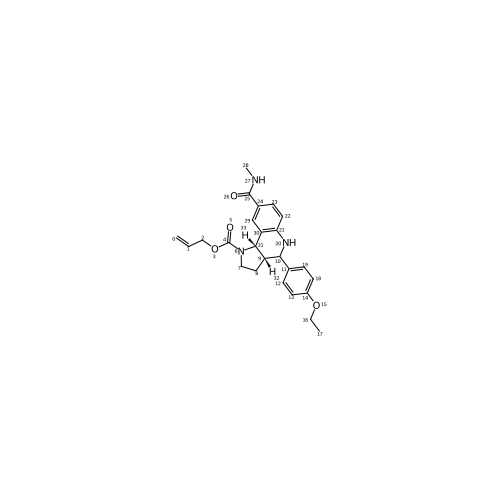 C=CCOC(=O)N1CC[C@H]2C(c3ccc(OCC)cc3)Nc3ccc(C(=O)NC)cc3[C@H]21